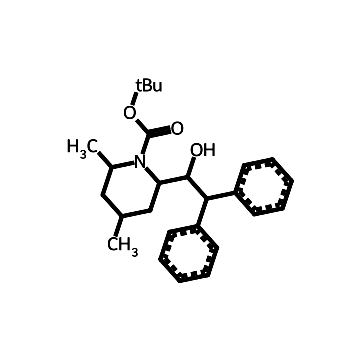 CC1CC(C)N(C(=O)OC(C)(C)C)C(C(O)C(c2ccccc2)c2ccccc2)C1